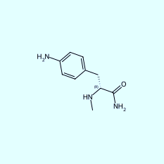 CN[C@H](Cc1ccc(N)cc1)C(N)=O